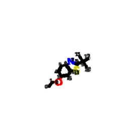 CCOc1ccc2nc(C(C)(C)C)sc2c1